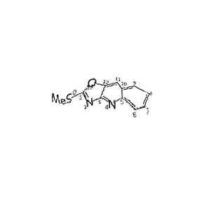 CSc1nc2nc3ccccc3cc2o1